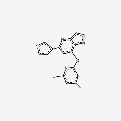 Cc1cc(C)nc(Oc2cc(-c3ccsc3)nc3ccnn23)n1